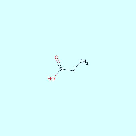 CC[Si](=O)O